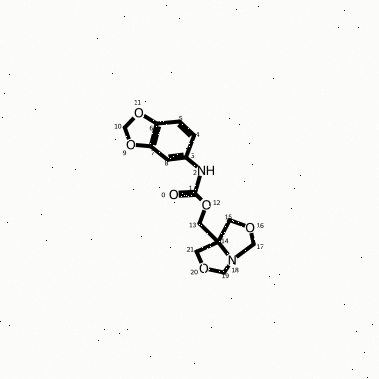 O=C(Nc1ccc2c(c1)OCO2)OCC12COCN1COC2